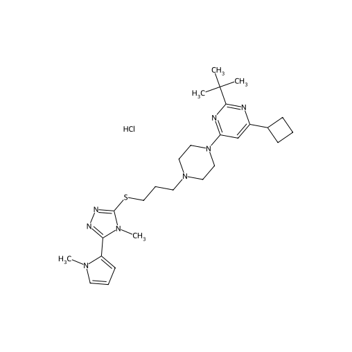 Cl.Cn1cccc1-c1nnc(SCCCN2CCN(c3cc(C4CCC4)nc(C(C)(C)C)n3)CC2)n1C